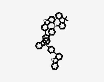 CC1(C)c2ccccc2-c2c(N(c3ccc(-c4ccccc4)cc3)c3cccc4oc5ccc(-c6ccc7c(c6)c6ccccc6n7-c6ccc(-c7cccc8c7oc7ccccc78)cc6)cc5c34)cccc21